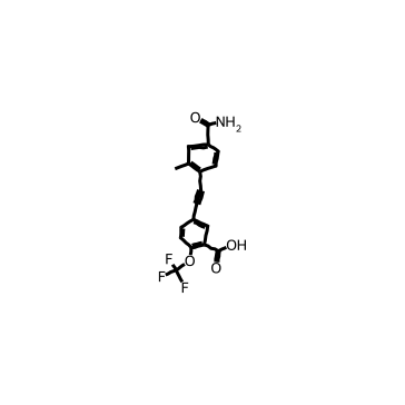 Cc1cc(C(N)=O)ccc1C#Cc1ccc(OC(F)(F)F)c(C(=O)O)c1